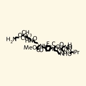 COC(=O)[C@H](CCC(=O)NCCOC(C)(C)OCCN)NC(=O)c1ccc(N(Cc2cnc3nc(NC(O)C(C)C)[nH]c(=O)c3n2)C(=O)C(F)(F)F)cc1